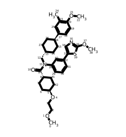 COCCO[C@H]1CC[C@H](C(=O)N(C[C@H]2CC[C@H](c3ccc(OC)c(C)c3)CC2)c2cccc(-c3cnc(OC)s3)c2)CC1